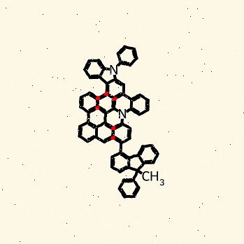 CC1(c2ccccc2)c2ccccc2-c2c(-c3ccc(N(c4ccccc4-c4ccc5c6ccccc6n(-c6ccccc6)c5c4)c4ccccc4-c4cccc5cccc(-c6ccccc6)c45)cc3)cccc21